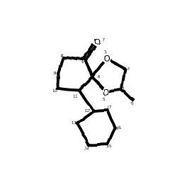 CC1COC2(O1)C(=O)CCCC2C1CCCCC1